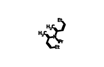 C=C(/C=C\CC)N(C(=C)/C=C\CC)C(C)C